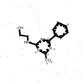 OCCNc1nc(-c2ccccc2)nc(C(Cl)(Cl)Cl)n1